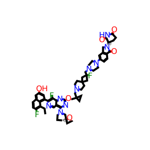 CCc1c(F)ccc2cc(O)cc(-c3ncc4c(N5CCC[C@]6(CCO6)C5)nc(OCC5(CN6CCC7(CC6)CC(F)(CN6CCN(c8ccc9c(c8)CN([C@H]8CCC(=O)NC8=O)C9=O)CC6)C7)CC5)nc4c3F)c12